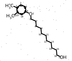 Cc1ccc(OCCCCCCCCCCCO)cc1C